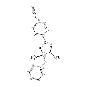 CC(=O)[C@@](N)(COc1ccc(C#N)cc1)Cc1ccccc1